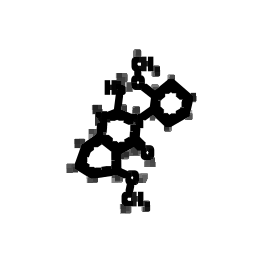 COc1ccccc1-n1c(S)nc2cccc(OC)c2c1=O